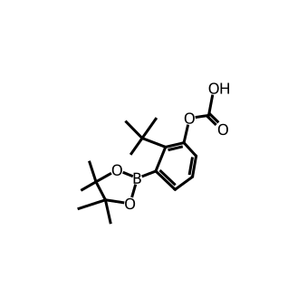 CC(C)(C)c1c(OC(=O)O)cccc1B1OC(C)(C)C(C)(C)O1